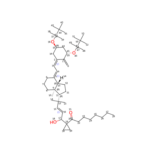 C=C1/C(=C\C=C2/CCC[C@]3(C)[C@@H](C(C)(C)/C=C/C(O)C4(C(=O)CCCCCCC)CC4)CC[C@@H]23)C[C@@H](O[Si](C)(C)C(C)(C)C)C[C@@H]1O[Si](C)(C)C(C)(C)C